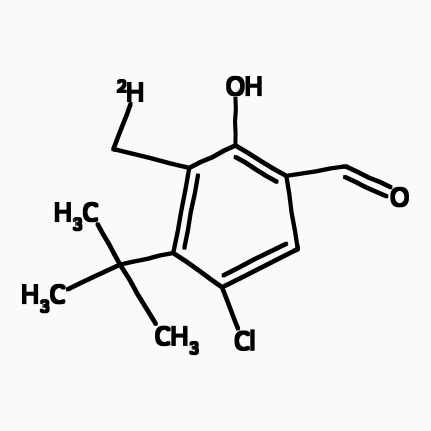 [2H]Cc1c(O)c(C=O)cc(Cl)c1C(C)(C)C